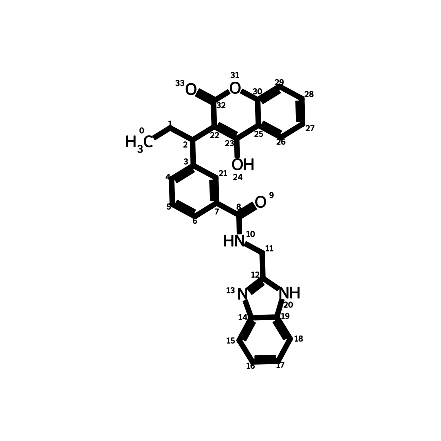 CCC(c1cccc(C(=O)NCc2nc3ccccc3[nH]2)c1)c1c(O)c2ccccc2oc1=O